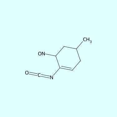 CC1CC=C(N=C=O)C(N=O)C1